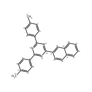 Cc1ccc(-c2nc(-c3ccc(C)cc3)nc(-c3ccc4ccccc4c3)n2)cc1